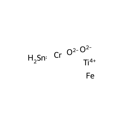 [Cr].[Fe].[O-2].[O-2].[SnH2].[Ti+4]